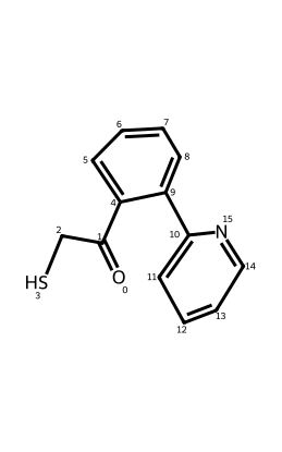 O=C(CS)c1ccccc1-c1ccccn1